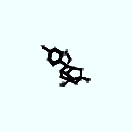 O=C(O)C[C@]1(c2ccc(F)cc2)C2C[C@]3(O)CC1C[C@](O)(C2)C3